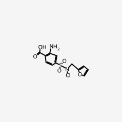 Nc1cc(S(=O)(=O)N(Cl)Cc2ccco2)ccc1C(=O)O